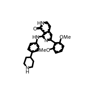 COc1cccc(OC)c1-c1cc2cc[nH]c(=O)c2c(Nc2ccc(C3CCNCC3)cc2)n1